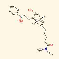 CN(C)C(=O)CCCCC1=C[C@H]2C[C@@H](O)[C@H](CC[C@@H](O)c3ccccc3)[C@H]2C1